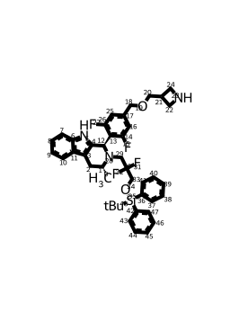 C[C@@H]1Cc2c([nH]c3ccccc23)[C@@H](c2c(F)cc(COCC3CNC3)cc2F)N1CC(F)(F)CO[Si](c1ccccc1)(c1ccccc1)C(C)(C)C